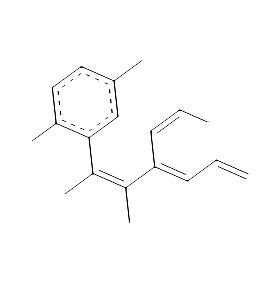 C=C/C=C(\C=C/CC)C(/C)=C(/C)c1cc(C)ccc1F